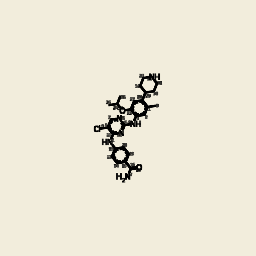 Cc1cc(Nc2ncc(Cl)c(Nc3ccc(C(N)=O)cc3)n2)c(OC(C)C)cc1C1CCNCC1